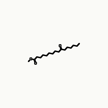 CCCCCCC(=O)CCCCCCCCC(=O)OC